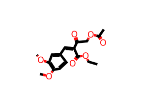 CCOC(=O)C(=Cc1ccc(OC)c(OC)c1)C(=O)COC(C)=O